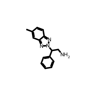 Cc1ccc2nn(C(CN)c3ccccc3)nc2c1